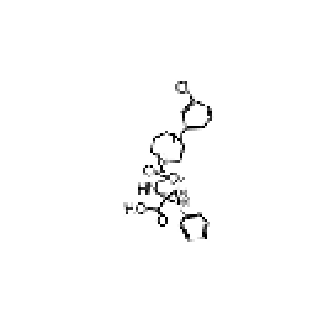 C[C@@H]1[C@H](c2ccccc2)[C@]1(NS(=O)(=O)N1CCCN(c2cccc(Cl)c2)CC1)C(=O)O